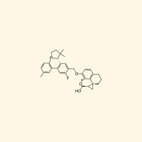 Cc1ccc(F)c(-c2cc(F)c(COc3ccc4c(c3F)[C@]3(CCC4)C[C@H]3C(=O)O)cc2[C@@H]2CCCC2(C)C)c1